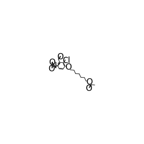 CC(=O)OCCCCCCCOc1ccc([N+](=O)[O-])c(C=O)c1Cl